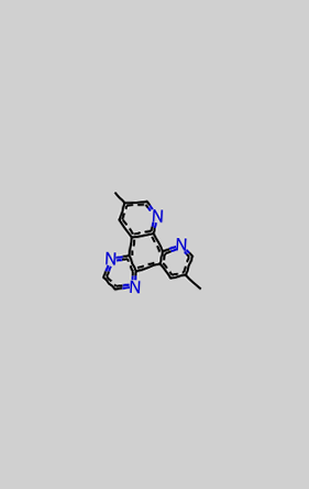 Cc1cnc2c(c1)c1nccnc1c1cc(C)cnc12